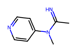 CC(=N)N(C)c1ccncc1